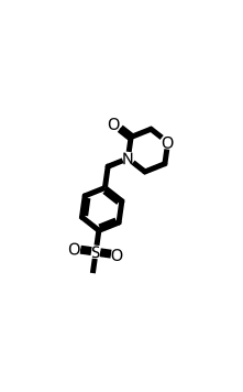 CS(=O)(=O)c1ccc(CN2CCOCC2=O)cc1